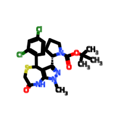 Cn1nc([C@@H]2CCCN2C(=O)OC(C)(C)C)c2c1NC(=O)CSC2c1ccc(Cl)cc1Cl